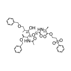 C=C(OCc1ccccc1)C(NC(C)=O)[C@@H](O[C@H](C)C(=O)N[C@@H](C)C(=O)OCCS(=O)(=O)c1ccccc1)[C@H](O)C(C)COCc1ccccc1